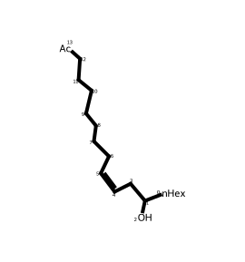 CCCCCCC(O)C/C=C\CCCCCCCC(C)=O